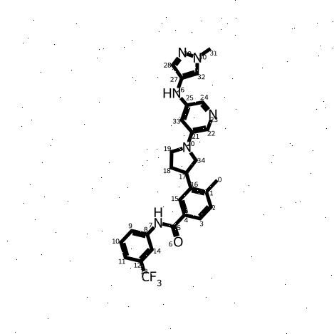 Cc1ccc(C(=O)Nc2cccc(C(F)(F)F)c2)cc1C1CCN(c2cncc(Nc3cnn(C)c3)c2)C1